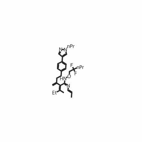 C=C(CCc1ccc(-c2cnn(CCC)c2)cc1)C(/C(=N\C=CC)NOCC(F)(F)CCC)=C(/C)CC